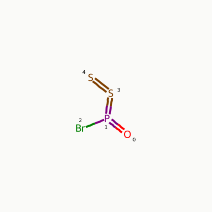 O=P(Br)=S=S